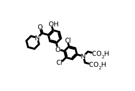 O=C(O)CN(CC(=O)O)c1cc(Cl)c(Oc2ccc(O)c(C(=O)N3CCCCC3)c2)c(Cl)c1